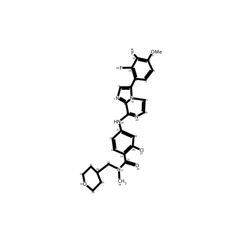 COc1ccc(-c2cnc3c(Nc4ccc(C(=O)N(C)CC5CCOCC5)c(Cl)c4)nccn23)c(F)c1F